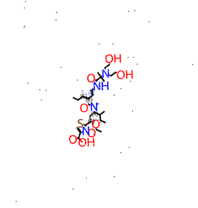 CCC(C)[C@@H](C[C@@H](OC(C)=O)c1nc(C(=O)O)cs1)N(C)C(=O)[C@@H](/C=C/NC(=O)C(C)(C)N(CCO)CCO)[C@@H](C)CC